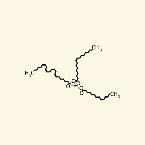 CCCC/C=C\CCCCCCCC(=O)OC[C@H](COC(=O)CCCCC/C=C\C/C=C\C/C=C\C/C=C\CCCCC)OC(=O)CCCCCCC/C=C\CCCCCCCC